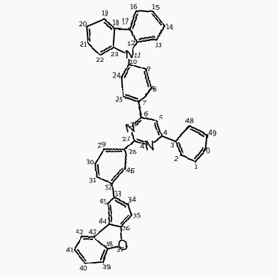 c1ccc(-c2cc(-c3ccc(-n4c5ccccc5c5ccccc54)cc3)nc(-c3cccc(-c4ccc5oc6ccccc6c5c4)c3)n2)cc1